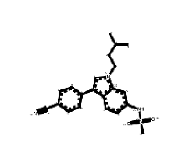 CC(C)CCn1cc(-c2ccc(C#N)cc2)c2ccc(NS(C)(=O)=O)cc21